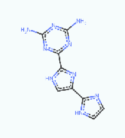 Nc1nc(N)nc(-c2nc(-c3ncc[nH]3)c[nH]2)n1